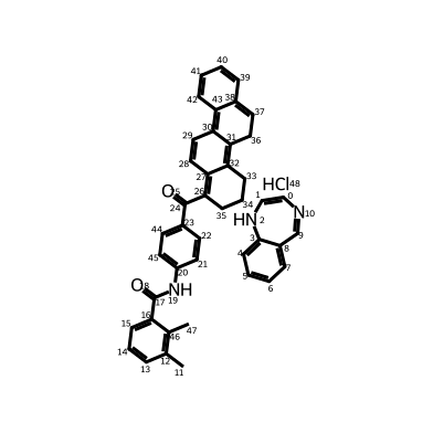 C1=CNc2ccccc2C=N1.Cc1cccc(C(=O)Nc2ccc(C(=O)C3=c4ccc5c(c4CCC3)CC=c3ccccc3=5)cc2)c1C.Cl